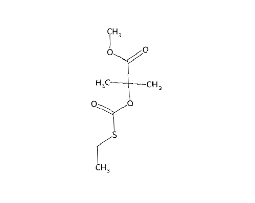 CCSC(=O)OC(C)(C)C(=O)OC